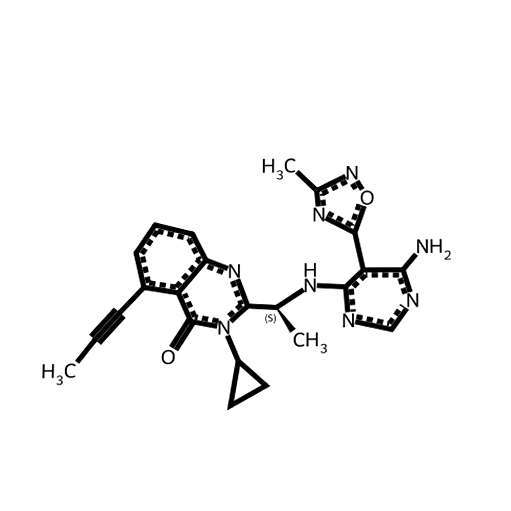 CC#Cc1cccc2nc([C@H](C)Nc3ncnc(N)c3-c3nc(C)no3)n(C3CC3)c(=O)c12